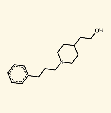 OCCC1CCN(CCCc2ccccc2)CC1